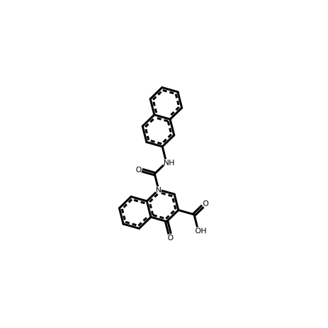 O=C(O)c1cn(C(=O)Nc2ccc3ccccc3c2)c2ccccc2c1=O